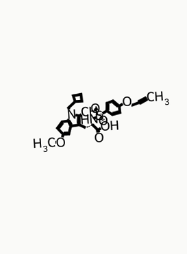 CC#CCOc1ccc(S(=O)(=O)N[C@@H](Cc2c(C)n(CC3CCC3)c3ccc(OC)cc23)C(=O)O)cc1